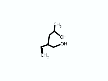 C=CC(CO)CC(C)O